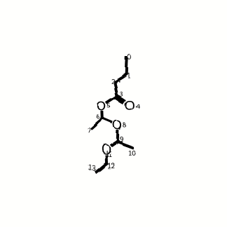 CC[CH]C(=O)OC(C)OC(C)OCC